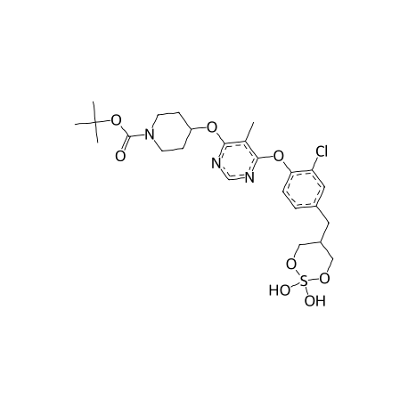 Cc1c(Oc2ccc(CC3COS(O)(O)OC3)cc2Cl)ncnc1OC1CCN(C(=O)OC(C)(C)C)CC1